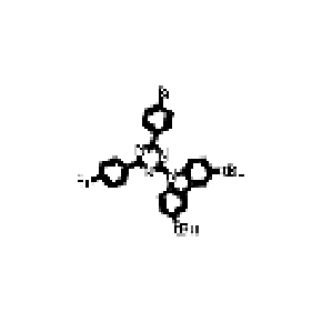 CC(C)(C)c1ccc2c(c1)c1cc(C(C)(C)C)ccc1n2-c1nc(-c2ccc(Br)cc2)nc(-c2ccc(Br)cc2)n1